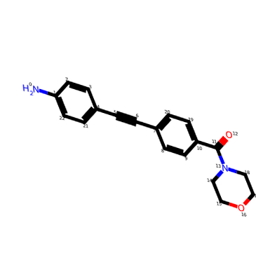 Nc1ccc(C#Cc2ccc(C(=O)N3CCOCC3)cc2)cc1